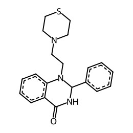 O=C1NC(c2ccccc2)N(CCN2CCSCC2)c2ccccc21